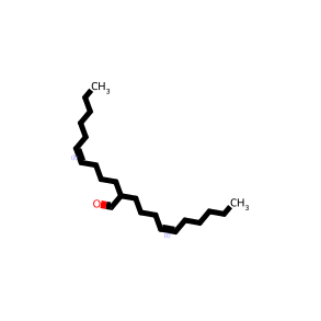 CCCCC/C=C\CCCC(C=O)CCC/C=C\CCCCC